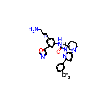 NC/C=C/c1cc(NC(=O)N2c3nc(-c4cccc(C(F)(F)F)c4)ccc3N3CCC[C@H]2C3)cc(-c2cnco2)c1